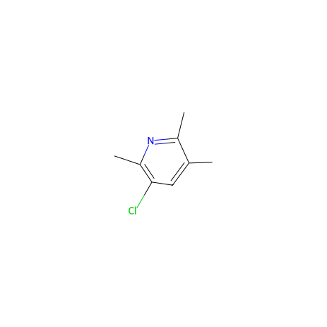 Cc1cc(Cl)c(C)nc1C